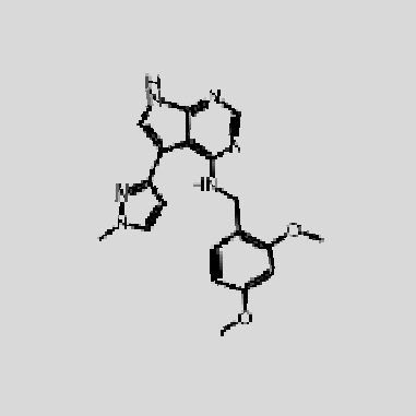 COc1ccc(CNc2ncnc3[nH]cc(-c4ccn(C)n4)c23)c(OC)c1